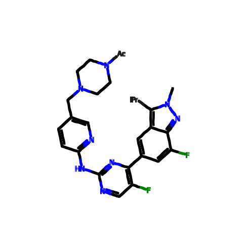 CC(=O)N1CCN(Cc2ccc(Nc3ncc(F)c(-c4cc(F)c5nn(C)c(C(C)C)c5c4)n3)nc2)CC1